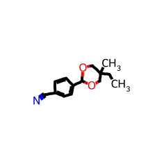 CCC1(C)COC(c2ccc(C#N)cc2)OC1